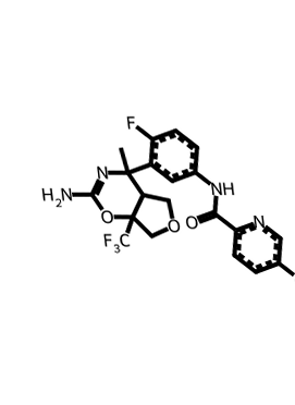 CC1(c2cc(NC(=O)c3ccc(Cl)cn3)ccc2F)N=C(N)OC2(C(F)(F)F)COCC12